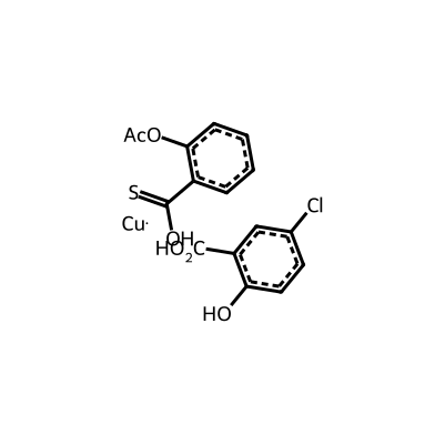 CC(=O)Oc1ccccc1C(O)=S.O=C(O)c1cc(Cl)ccc1O.[Cu]